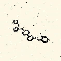 C[C@@H](c1cncn1C[C@@H]1CCO1)N1CCC(c2cccc(OCc3ccncc3F)n2)CC1